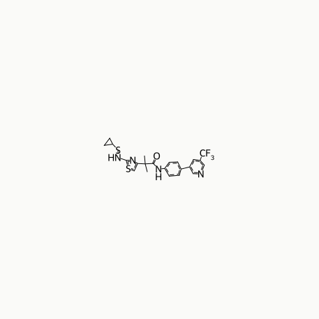 CC(C)(C(=O)Nc1ccc(-c2cncc(C(F)(F)F)c2)cc1)c1csc(NSC2CC2)n1